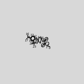 CCOC(=O)C(=O)N1CCN(c2ccc(C(C)C)cc2C(C)(C)C)CC1